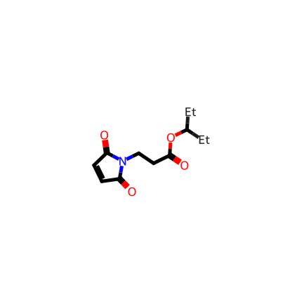 CCC(CC)OC(=O)CCN1C(=O)C=CC1=O